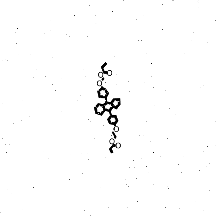 C=CC(=O)OCCOc1ccc(-c2c3ccccc3c(-c3ccc(OCOC(=O)C=C)cc3)c3ccccc23)cc1